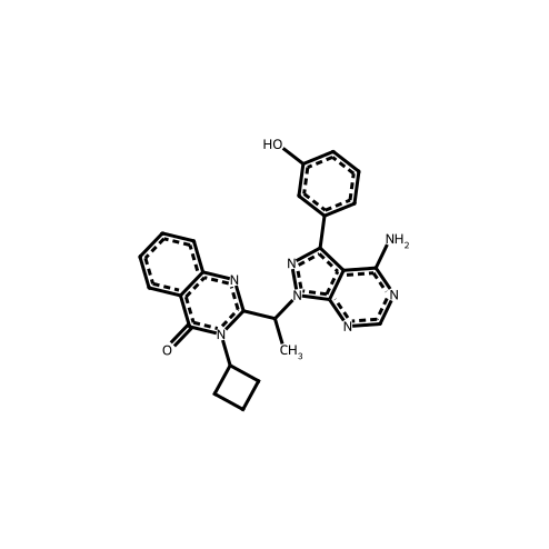 CC(c1nc2ccccc2c(=O)n1C1CCC1)n1nc(-c2cccc(O)c2)c2c(N)ncnc21